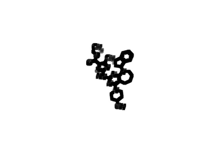 CCOC(=O)c1sc(Nc2nc(N3CCC(O)CC3)c3c(n2)N(C2CCc4ccccc42)CCCC3)nc1C